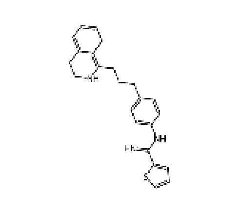 N=C(Nc1ccc(CCCC2=C3CC=CC=C3CCN2)cc1)c1cccs1